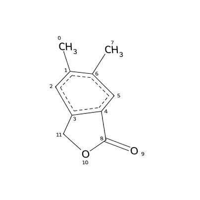 Cc1cc2c(cc1C)C(=O)OC2